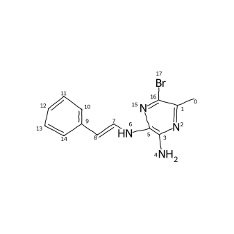 Cc1nc(N)c(NC=Cc2ccccc2)nc1Br